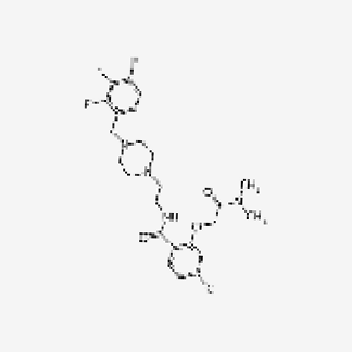 CN(C)C(=O)COc1cc(Cl)ccc1C(=O)NCCN1CCN(Cc2ccc(F)c(F)c2F)CC1